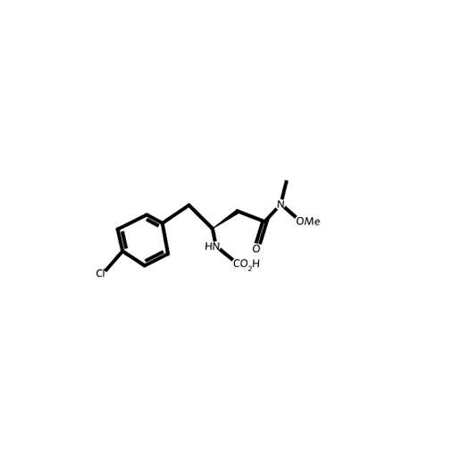 CON(C)C(=O)C[C@H](Cc1ccc(Cl)cc1)NC(=O)O